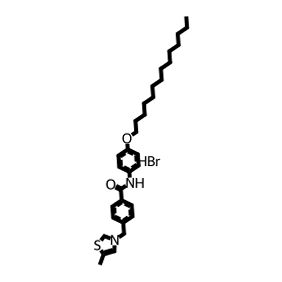 Br.CCCCCCCCCCCCCCOc1ccc(NC(=O)c2ccc(CN3C=C(C)SC3)cc2)cc1